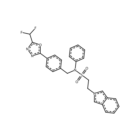 O=S(=O)(CCn1cc2ccccc2c1)N(Cc1ccc(-c2nnc(C(F)F)o2)cc1)c1ccccc1